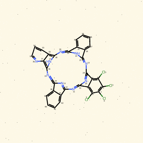 Clc1c(Cl)c(Cl)c2c(c1Cl)-c1nc3nc(nc4[nH]c(nc5[nH]c(nc-2n1)c1ccccc51)c1cccnc41)-c1ccccc1-3